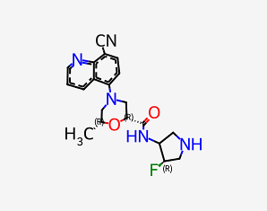 C[C@@H]1CN(c2ccc(C#N)c3ncccc23)C[C@H](C(=O)NC2CNC[C@H]2F)O1